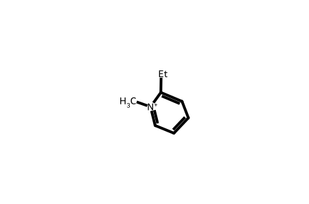 CCc1cccc[n+]1C